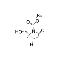 CC(C)(C)OC(=O)N1C(=O)C[C@H]2C[C@@]21CO